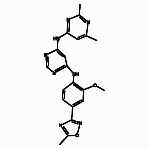 COc1cc(-c2noc(C)n2)ccc1Nc1cc(Nc2cc(C)nc(C)n2)ncn1